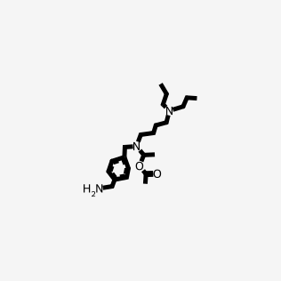 CCCN(CCC)CCCCN(Cc1ccc(CN)cc1)C(C)OC(C)=O